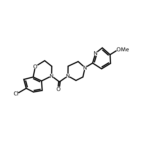 COc1ccc(N2CCN(C(=O)N3CCOc4cc(Cl)ccc43)CC2)nc1